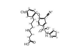 N#Cc1cc(S(=O)(=O)Nc2cscn2)ccc1Oc1ccc(Cl)cc1CCCNCCC(=O)O